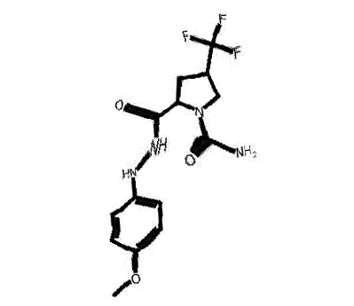 COc1ccc(NNC(=O)C2CC(C(F)(F)F)CN2C(N)=O)cc1